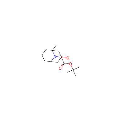 CC(C)(C)OC(=O)CN1C2CCCC1(C)CC(=O)C2